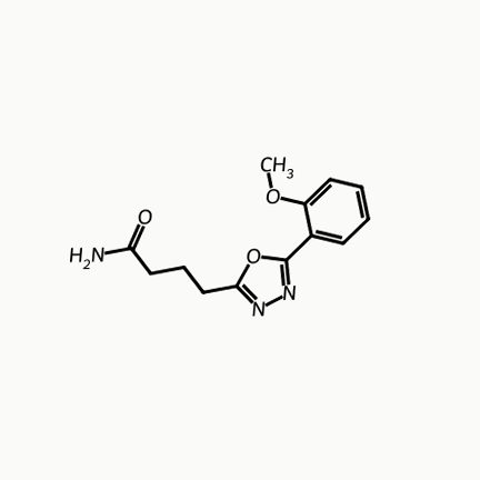 COc1ccccc1-c1nnc(CCCC(N)=O)o1